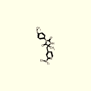 CCN(CC)c1cc(CC2(C)NC(=O)N(c3ccc(SC(F)(F)F)cc3)C2=O)ccn1